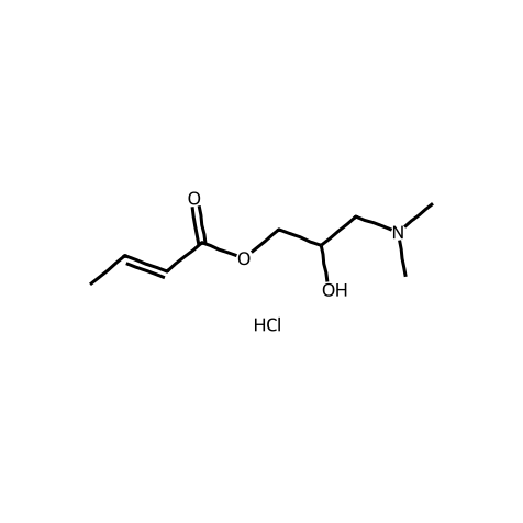 CC=CC(=O)OCC(O)CN(C)C.Cl